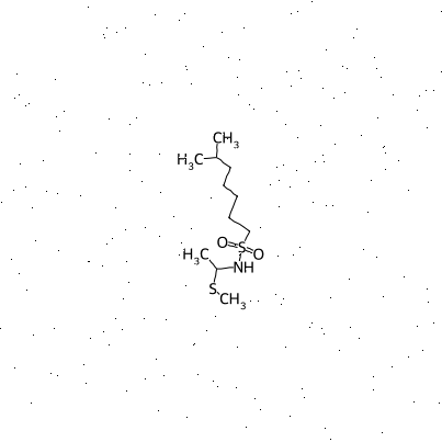 CSC(C)NS(=O)(=O)CCCCCC(C)C